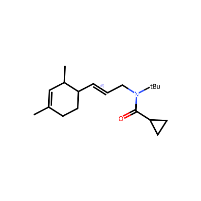 CC1=CC(C)C(/C=C/CN(C(=O)C2CC2)C(C)(C)C)CC1